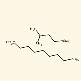 CCCCCCCCCCCCCCCCCC(=O)O.CCCCCCCCCCCCN(C)C